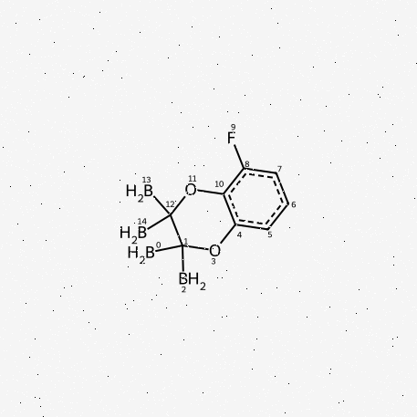 BC1(B)Oc2cccc(F)c2OC1(B)B